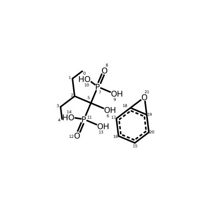 CCC(CC)C(O)(P(=O)(O)O)P(=O)(O)O.c1ccc2c(c1)O2